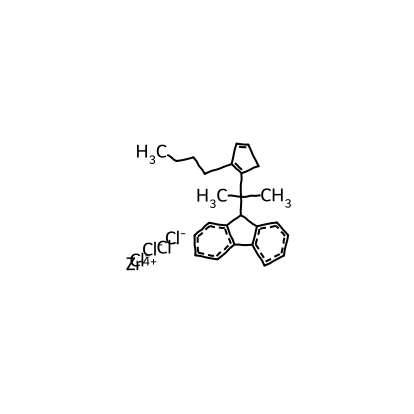 CCCCC1=C(C(C)(C)C2c3ccccc3-c3ccccc32)CC=C1.[Cl-].[Cl-].[Cl-].[Cl-].[Zr+4]